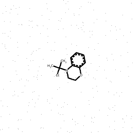 CCC(C)(C)N1CCOc2ccccc21